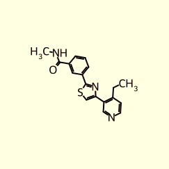 CCc1ccncc1-c1csc(-c2cccc(C(=O)NC)c2)n1